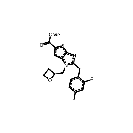 COC(=O)c1cc2c(nc(Cc3ccc(C)cc3F)n2C[C@@H]2CCO2)s1